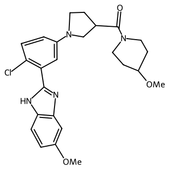 COc1ccc2[nH]c(-c3cc(N4CCC(C(=O)N5CCC(OC)CC5)C4)ccc3Cl)nc2c1